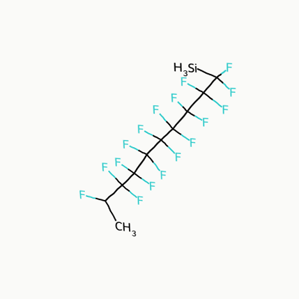 CC(F)C(F)(F)C(F)(F)C(F)(F)C(F)(F)C(F)(F)C(F)(F)C(F)(F)C(F)(F)[SiH3]